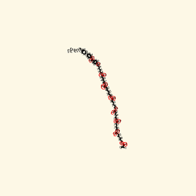 C=C(C)C(=O)OCCCCCC(=O)OCCCCCC(=O)OCCCCCC(=O)OCCCCCC(=O)OCCCCCC(=O)OCCCCCC(=O)OCCCCCCOc1ccc(C(=O)Oc2ccc([C@H]3CC[C@H](CCCCC)CC3)cc2)cc1